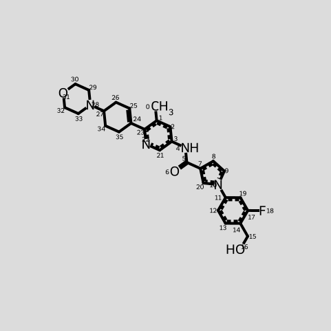 Cc1cc(NC(=O)c2ccn(-c3ccc(CO)c(F)c3)c2)cnc1C1=CCC(N2CCOCC2)CC1